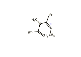 C=C(C(C)C)N(C)/C(=N\C)C(C)C